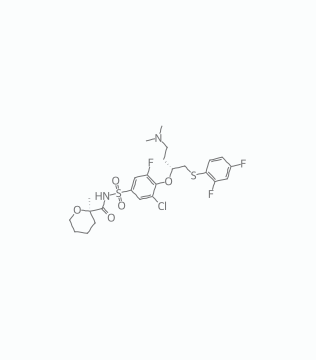 CN(C)CC[C@H](CSc1ccc(F)cc1F)Oc1c(F)cc(S(=O)(=O)NC(=O)[C@@]2(C)CCCCO2)cc1Cl